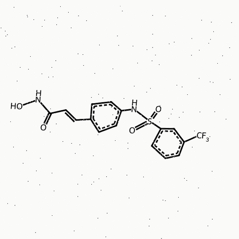 O=C(/C=C/c1ccc(NS(=O)(=O)c2cccc(C(F)(F)F)c2)cc1)NO